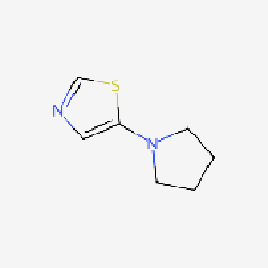 c1ncc(N2CCCC2)s1